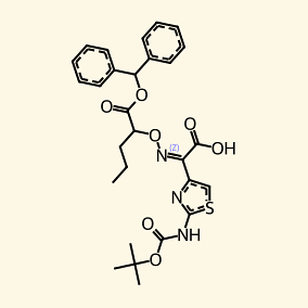 CCCC(O/N=C(\C(=O)O)c1csc(NC(=O)OC(C)(C)C)n1)C(=O)OC(c1ccccc1)c1ccccc1